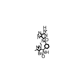 CCn1nc(C)c(Br)c1C(NC=O)c1cccc(-c2nc3c(nc(NC)c4ncn(C)c43)o2)c1